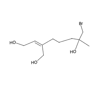 CC(O)(CBr)CCCC(=CCO)CO